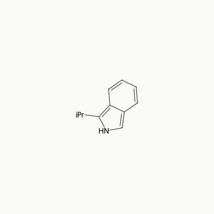 CC(C)c1[nH]cc2ccccc12